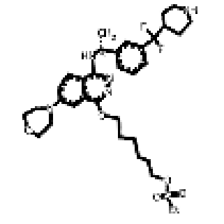 CCS(=O)(=O)OCCCCCCOc1nnc(N[C@H](C)c2cccc(C(F)(F)C3CCNCC3)c2)c2ccc(N3CCOCC3)cc12